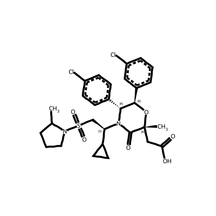 CC1CCCN1S(=O)(=O)C[C@H](C1CC1)N1C(=O)[C@@](C)(CC(=O)O)O[C@H](c2cccc(Cl)c2)[C@H]1c1ccc(Cl)cc1